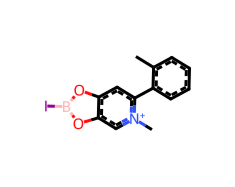 Cc1ccccc1-c1cc2c(c[n+]1C)OB(I)O2